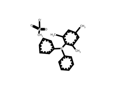 CS(=O)(=O)[O-].Cc1cc(C)c([S+](c2ccccc2)c2ccccc2)c(C)c1